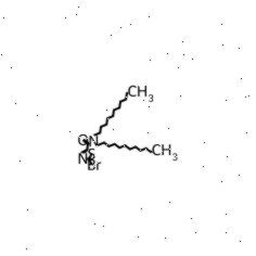 CCCCCCCCCCCCN(CCCCCCCCCCCC)C(=O)c1cnc(Br)s1